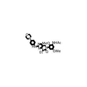 CCN1C(=O)N(c2cc(OC)cc(NC(C)=O)c2OC)Cc2cnc(Nc3ccc(N4CCOCC4)cc3)nc21